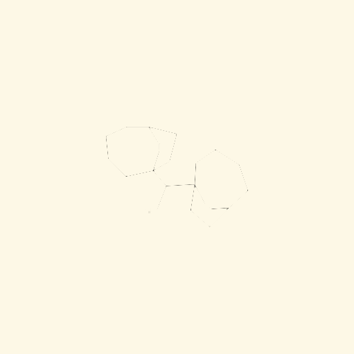 CCCC(C12CCCCC(CC1)P2)C12CCCCC(CC1)P2